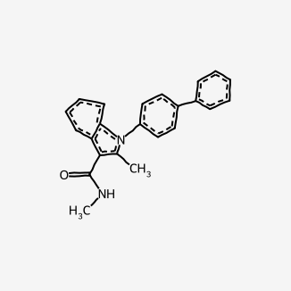 CNC(=O)c1c(C)n(-c2ccc(-c3ccccc3)cc2)c2ccccc12